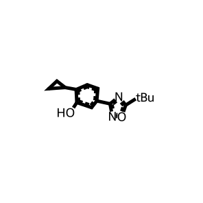 CC(C)(C)c1nc(-c2ccc(C3CC3)c(O)c2)no1